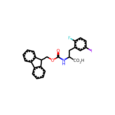 O=C(NC(Cc1cc(I)ccc1F)C(=O)O)OCC1c2ccccc2-c2ccccc21